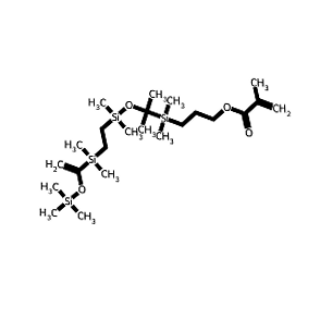 C=C(C)C(=O)OCCC[Si](C)(C)C(C)(C)O[Si](C)(C)CC[Si](C)(C)C(=C)O[Si](C)(C)C